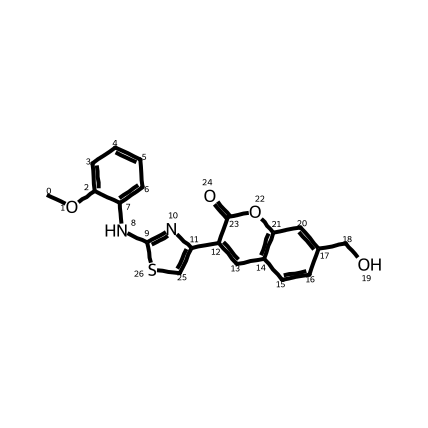 COc1ccccc1Nc1nc(-c2cc3ccc(CO)cc3oc2=O)cs1